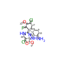 COC(=O)C1(Nc2ccccc2N)N=C(c2ccc(Cl)c(OC)c2F)NC=C1Cl